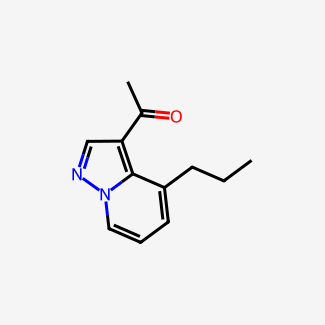 CCCc1cccn2ncc(C(C)=O)c12